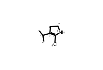 CC(C)C1=C(Cl)NCC1